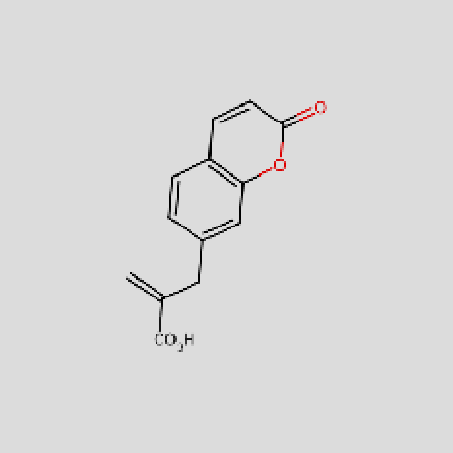 C=C(Cc1ccc2ccc(=O)oc2c1)C(=O)O